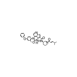 Cc1cc(Oc2ccccc2)ccc1N1C(=O)Nc2c(C(=O)NC3CCCN(C(=O)C=CC(C)C)C3)sc3nccc1c23